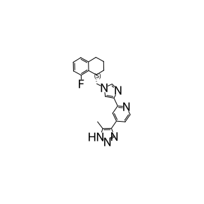 Cc1[nH]nnc1-c1ccnc(-c2cn(C[C@H]3CCCc4cccc(F)c43)cn2)c1